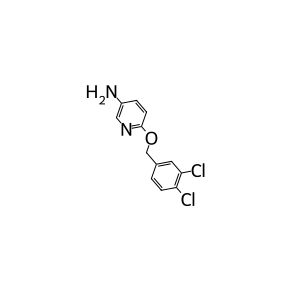 Nc1ccc(OCc2ccc(Cl)c(Cl)c2)nc1